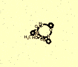 Cc1ccc(C[C@H]2NC(=O)[C@H](CO)N(C)C(=O)[C@H](C3CCCCC3)NCCOc3ccccc3CCCNC2=O)cc1